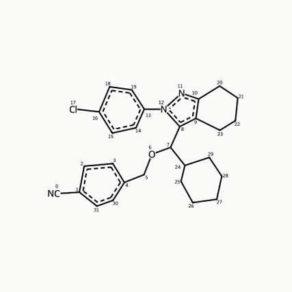 N#Cc1ccc(COC(c2c3c(nn2-c2ccc(Cl)cc2)CCCC3)C2CCCCC2)cc1